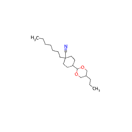 CCCCCCCC1(C#N)CCC(C2OCC(CCC)CO2)CC1